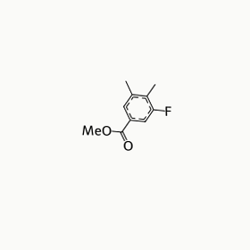 COC(=O)c1cc(C)c(C)c(F)c1